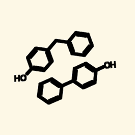 Oc1ccc(-c2ccccc2)cc1.Oc1ccc(Cc2ccccc2)cc1